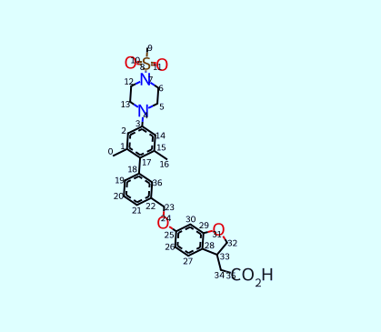 Cc1cc(N2CCN(S(C)(=O)=O)CC2)cc(C)c1-c1cccc(COc2ccc3c(c2)OCC3CC(=O)O)c1